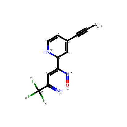 CC#CC1=CC(/C(=C/C(=N)C(F)(F)F)N=O)NC=C1